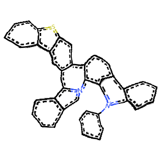 c1ccc(-n2c3ccccc3c3ccc4c5cc6sc7ccccc7c6cc5c5c6ccccc6cn5c4c32)cc1